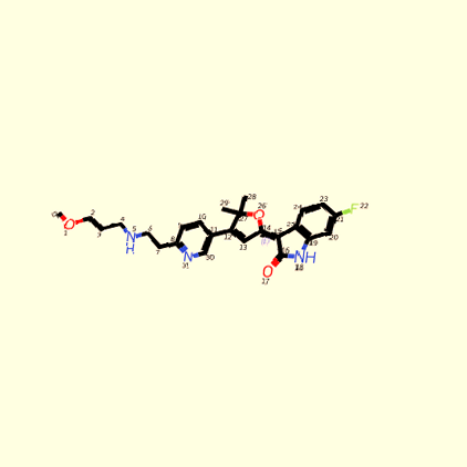 COCCCNCCc1ccc(C2=C/C(=C3\C(=O)Nc4cc(F)ccc43)OC2(C)C)cn1